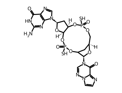 Nc1nc2c(ncn2[C@H]2C[C@H]3OP(=O)(S)OC[C@@H]4CC(OP(=O)(S)O[C@H]3O2)[C@H](n2cnn3ccnc3c2=O)O4)c(=O)[nH]1